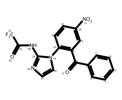 O=C(c1ccccc1)c1cc([N+](=O)[O-])ccc1-n1ccnc1NC(=O)C(F)(F)F